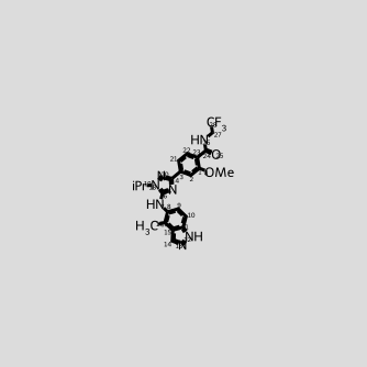 COc1cc(-c2nc(Nc3ccc4[nH]ncc4c3C)n(C(C)C)n2)ccc1C(=O)NCC(F)(F)F